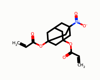 C=CC(=O)OC12CC3CC(OC(=O)C=C)(C1)CC([N+](=O)[O-])(C3)C2